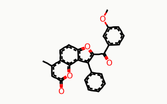 COc1cccc(C(=O)c2oc3ccc4c(C)cc(=O)oc4c3c2-c2ccccc2)c1